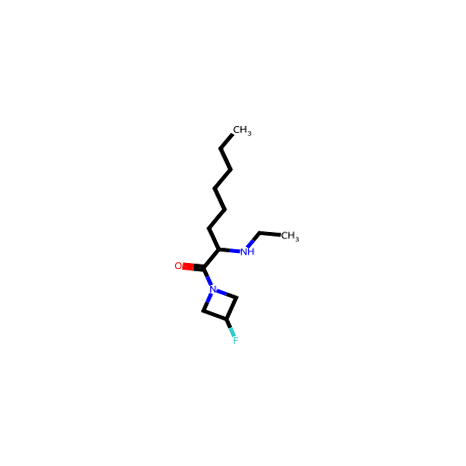 CCCCCCC(NCC)C(=O)N1CC(F)C1